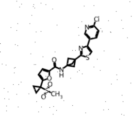 CS(=O)(=O)C1(c2ccc(C(=O)NC34CC(c5nc(-c6ccc(Cl)nc6)cs5)(C3)C4)o2)CC1